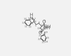 O=C(O)C(CCc1c[nH]c2ccccc12)CP(=O)(O)Cc1ccccc1